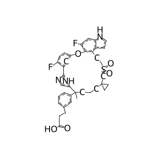 CC1(c2cccc(CCC(=O)O)c2)CCCC2(CC2)CS(=O)(=O)CCc2c(c(F)cc3[nH]ccc23)Oc2ccc(F)c(c2)-c2ncc1[nH]2